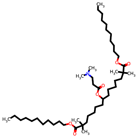 CCCCCCCCCCCOC(=O)C(C)(C)CCCCCC(CCCCCC(C)(C)C(=O)OCCCCCCCCCCC)OC(=O)CCN(C)C